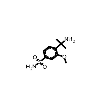 COc1cc(S(N)(=O)=O)ccc1C(C)(C)N